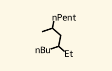 CCCCCC(C)CC(CC)CCCC